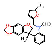 CC1(c2ccccc2N(C=O)Cc2ccc(C(F)(F)F)o2)COc2cc3c(cc21)OCO3